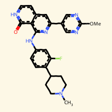 COc1ncc(-c2cc3cc[nH]c(=O)c3c(Nc3ccc(C4CCN(C)CC4)c(F)c3)n2)cn1